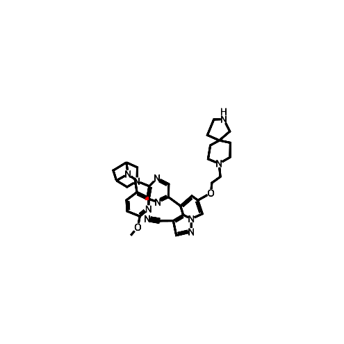 COc1ccc(CN2C3CC2CN(c2cnc(-c4cc(OCCN5CCC6(CCNC6)CC5)cn5ncc(C#N)c45)cn2)C3)cn1